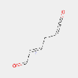 O=C=CC/C=C/C=O